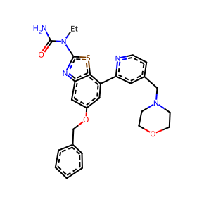 CCN(C(N)=O)c1nc2cc(OCc3ccccc3)cc(-c3cc(CN4CCOCC4)ccn3)c2s1